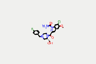 COc1cc(/C=C/C(=O)N2CCN(Cc3ccc(F)cc3)C[C@H]2CO)c(NC(N)=O)cc1Cl